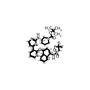 CC(C)(C)OC(=O)N1CCC[C@H](Nc2nccc(-c3cccnc3Oc3ccc(NS(=O)(=O)CC(F)(F)F)c4ccccc34)n2)C1